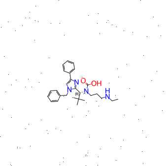 CCNCCCN(C(=O)O)[C@@H](c1nc(-c2ccccc2)cn1Cc1ccccc1)C(C)(C)C